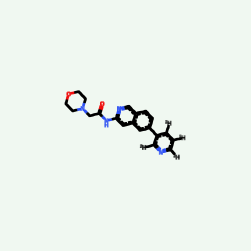 [2H]c1nc([2H])c(-c2ccc3cnc(NC(=O)CN4CCOCC4)cc3c2)c([2H])c1[2H]